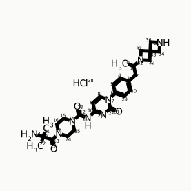 CC(Cc1ccc(-n2ccc(NC(=O)N3CCN(C(=O)C(C)(C)N)CC3)nc2=O)cc1)N1CC2(CNC2)C1.Cl